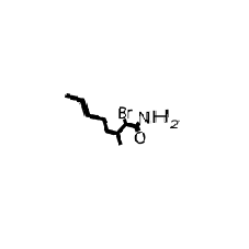 CCCCCC(C)C(Br)C(N)=O